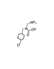 NCN(Cc1ccc(Cl)cc1)C(=O)O